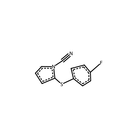 N#Cn1[c]ccc1Sc1ccc(F)cc1